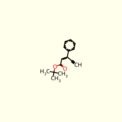 C#CC(=CC(=O)OC(C)(C)C)c1ccccc1